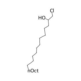 CCCCCCCCCCCCCCCCCCC(O)CCl